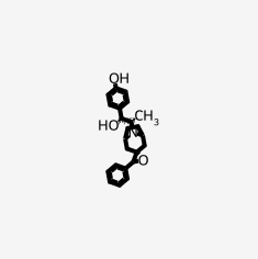 C[C@@H]([C@H](O)c1ccc(O)cc1)N1C2CCC1CC1(C2)OC1c1ccccc1